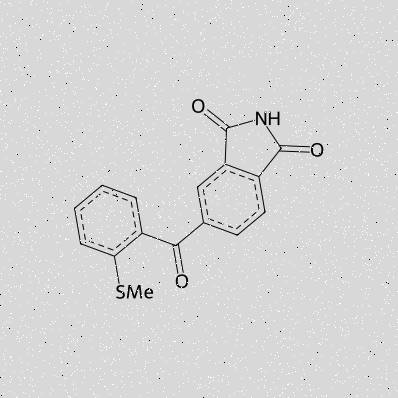 CSc1ccccc1C(=O)c1ccc2c(c1)C(=O)NC2=O